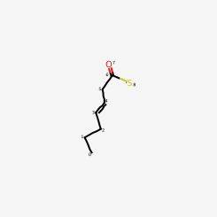 CCCC=CCC(=O)[S]